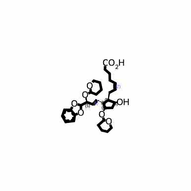 O=C(O)CCC/C=C\C[C@@H]1[C@@H](/C=C/[C@H](OC2CCCCO2)C2Oc3ccccc3O2)[C@H](OC2CCCCO2)C[C@@H]1O